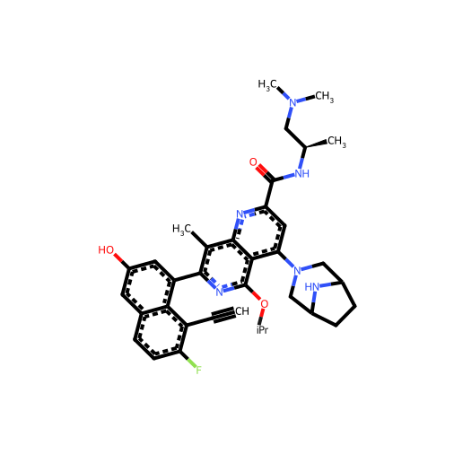 C#Cc1c(F)ccc2cc(O)cc(-c3nc(OC(C)C)c4c(N5CC6CCC(C5)N6)cc(C(=O)N[C@H](C)CN(C)C)nc4c3C)c12